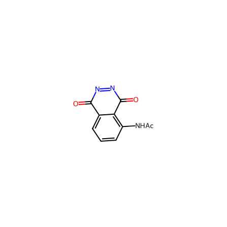 CC(=O)Nc1cccc2c1C(=O)N=NC2=O